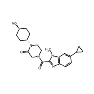 Cn1c(C(=O)N2CCN([C@H]3CC[C@H](O)CC3)C(=O)C2)nc2ccc(C3CC3)cc21